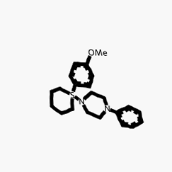 COc1ccc(S2(N3CCN(c4ccccc4)CC3)CCCCC2)cc1